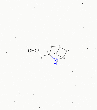 O=CCC1CC2CC(C2)N1